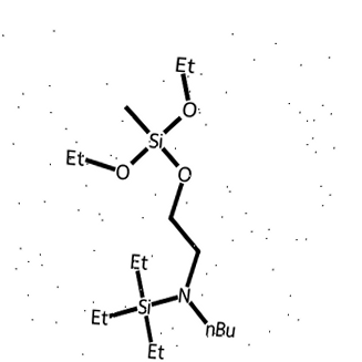 CCCCN(CCO[Si](C)(OCC)OCC)[Si](CC)(CC)CC